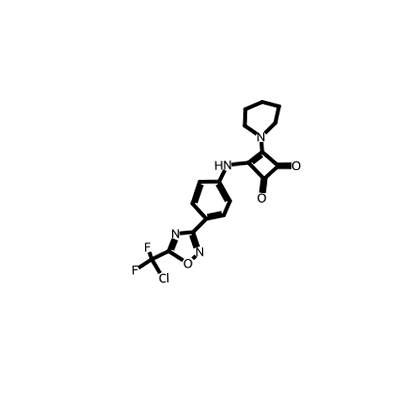 O=c1c(Nc2ccc(-c3noc(C(F)(F)Cl)n3)cc2)c(N2CCCCC2)c1=O